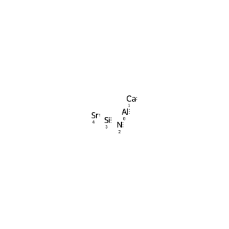 [Al].[Ca].[N].[Si].[Sr]